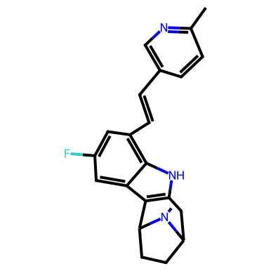 Cc1ccc(/C=C/c2cc(F)cc3c4c([nH]c23)CC2CCC4N2C)cn1